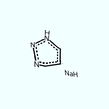 [NaH].[c]1c[nH]nn1